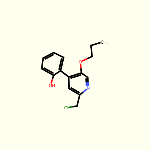 CCCOc1cnc(CCl)cc1-c1ccccc1O